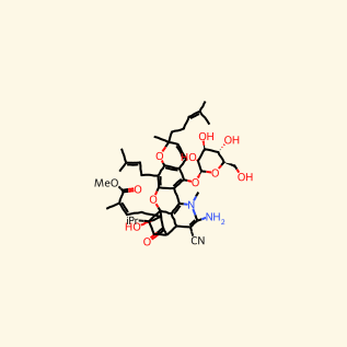 COC(=O)/C(C)=C\CC1(O)C(=O)C2CC(C(C)C)C13Oc1c(CC=C(C)C)c4c(c(O[C@@H]5O[C@H](CO)[C@@H](O)[C@H](O)[C@H]5O)c1C1=C3C2C(C#N)=C(N)N1C)C=CC(C)(CCC=C(C)C)O4